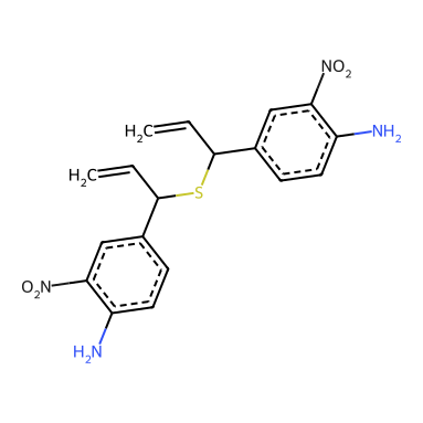 C=CC(SC(C=C)c1ccc(N)c([N+](=O)[O-])c1)c1ccc(N)c([N+](=O)[O-])c1